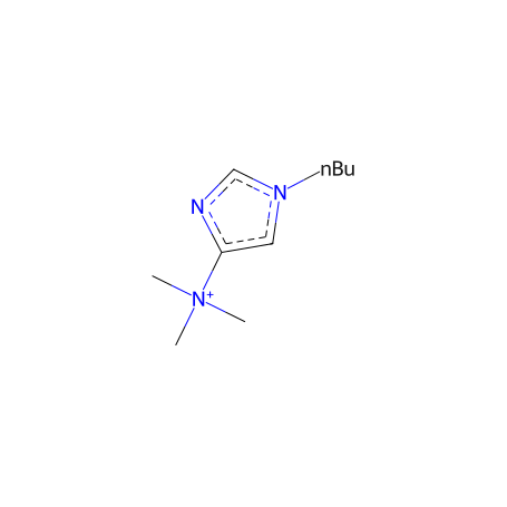 CCCCn1cnc([N+](C)(C)C)c1